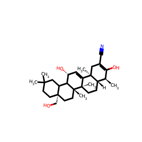 C[C@@H]1C(O)=C(C#N)C[C@]2(C)C3=C[C@@H](O)C4C5CC(C)(C)CC[C@]5(CO)CC[C@@]4(C)[C@]3(C)CC[C@@H]12